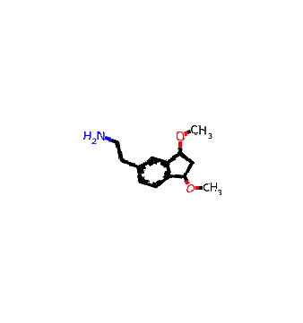 COC1CC(OC)c2cc(CCN)ccc21